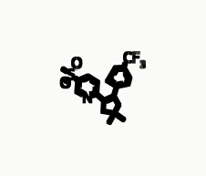 CC1(C)CC(c2ccc(C(F)(F)F)cc2)=C(c2ccc(S(C)(=O)=O)cn2)C1